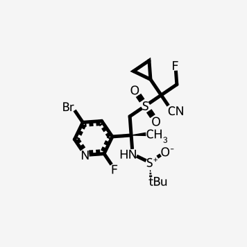 CC(C)(C)[S@@+]([O-])N[C@@](C)(CS(=O)(=O)C(C#N)(CF)C1CC1)c1cc(Br)cnc1F